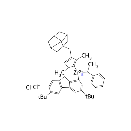 CC1=[C](/[Zr+2](=[C](\C)c2ccccc2)[c]2cc(C(C)(C)C)cc3c2Cc2ccc(C(C)(C)C)cc2-3)C(C)C=C1CC12CC3CC(CC(C3)C1)C2.[Cl-].[Cl-]